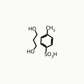 Cc1ccc(S(=O)(=O)O)cc1.OCCCO